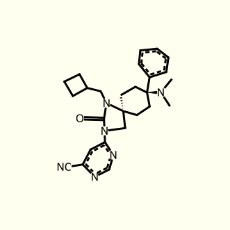 CN(C)[C@]1(c2ccccc2)CC[C@]2(CC1)CN(c1cc(C#N)ncn1)C(=O)N2CC1CCC1